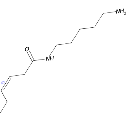 CC/C=C\CC(=O)NCCCCCN